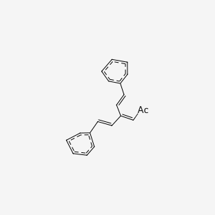 CC(=O)C=C(C=Cc1ccccc1)C=Cc1ccccc1